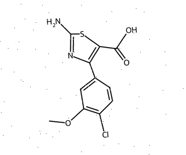 COc1cc(-c2nc(N)sc2C(=O)O)ccc1Cl